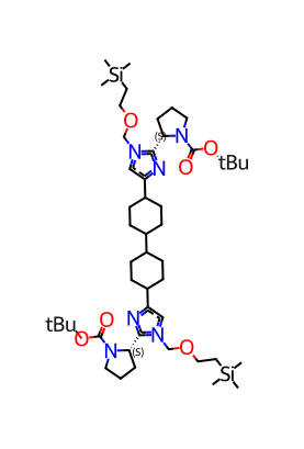 CC(C)(C)OC(=O)N1CCC[C@H]1c1nc(C2CCC(C3CCC(c4cn(COCC[Si](C)(C)C)c([C@@H]5CCCN5C(=O)OC(C)(C)C)n4)CC3)CC2)cn1COCC[Si](C)(C)C